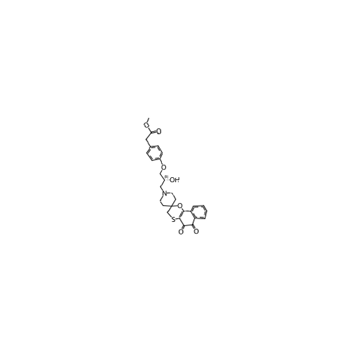 COC(=O)Cc1ccc(OC[C@H](O)CN2CCC3(CC2)CSC2=C(O3)c3ccccc3C(=O)C2=O)cc1